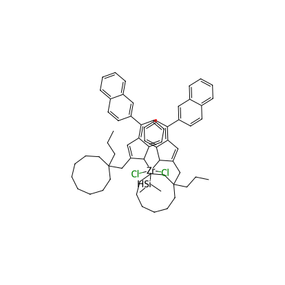 CCCC1(CC2=Cc3c(-c4ccc5ccccc5c4)cccc3[CH]2[Zr]([Cl])([Cl])([CH]2C(CC3(CCC)CCCCCCCC3)=Cc3c(-c4ccc5ccccc5c4)cccc32)[SiH](C)C)CCCCCCCC1